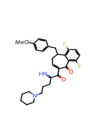 COc1ccc(CC2CC=C(C(=O)C(=N)CCCN3CCCCC3)C(=O)c3c(F)ccc(F)c32)cc1